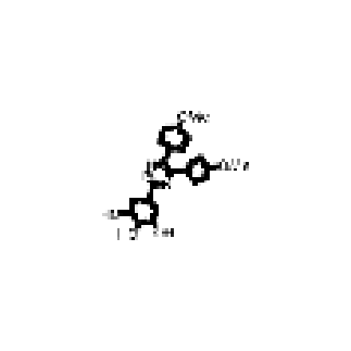 COc1ccc(-c2nnc(-c3cc(O)c(O)c(O)c3)nc2-c2ccc(OC)cc2)cc1